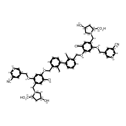 Cc1c(COc2cc(OCc3cncc(C#N)c3)c(CN3C[C@@H](O)C[C@H]3C(=O)O)cc2Cl)cccc1-c1cccc(COc2cc(OCc3cncc(C#N)c3)c(CN3C[C@@H](O)C[C@H]3C(=O)O)cc2Cl)c1C